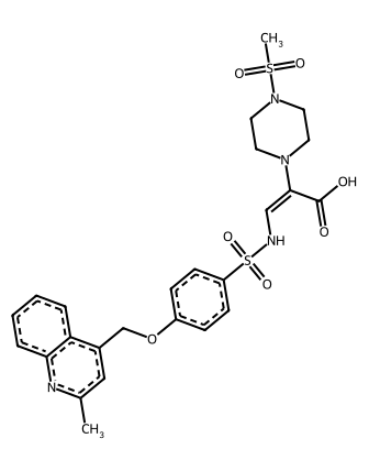 Cc1cc(COc2ccc(S(=O)(=O)N/C=C(\C(=O)O)N3CCN(S(C)(=O)=O)CC3)cc2)c2ccccc2n1